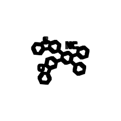 N#Cc1ccccc1-c1cc(-c2ccc3sc4ccccc4c3c2)c(-c2ccc3oc4ccccc4c3c2)cc1-c1ccccc1